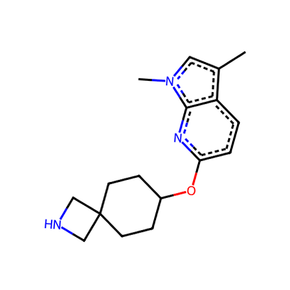 Cc1cn(C)c2nc(OC3CCC4(CC3)CNC4)ccc12